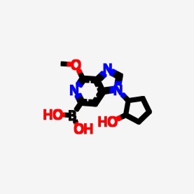 COc1nc(B(O)O)cc2c1ncn2C1CCCC1O